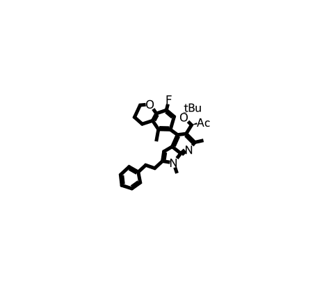 CC(=O)[C@@H](OC(C)(C)C)c1c(C)nc2c(cc(CCc3ccccc3)n2C)c1-c1cc(F)c2c(c1C)CCCO2